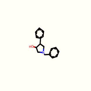 OC1CN(Cc2ccccc2)CC1c1ccccc1